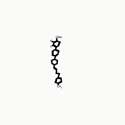 COc1ccc(-c2ccc(C3CCC(/C=C/CCc4ccc(C)cc4)CC3)cc2)c(F)c1F